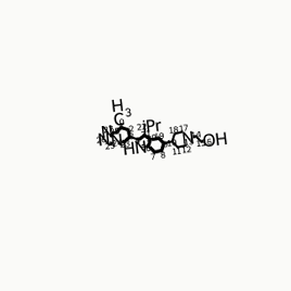 Cc1cc(-c2[nH]c3ccc(C4CCN(CCO)CC4)cc3c2C(C)C)cn2cnnc12